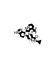 O=C(NC1CC1)c1cnc(N2CCc3[nH]cnc3[C@@H]2c2cc3c(C(F)(F)F)cccn3n2)cn1